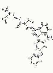 CN(C/C=C/C(=O)N1CC[C@@H](n2nc(-c3ccc(Oc4ccccc4)cc3)c3c(N)ncnc32)C1)C1CC1